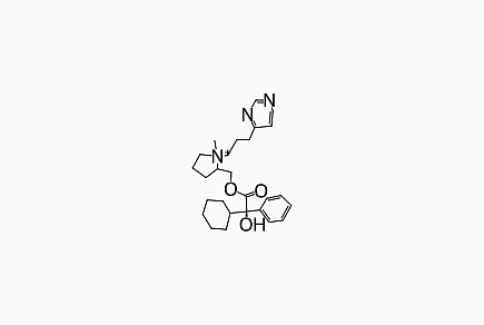 C[N+]1(CCCc2ccncn2)CCCC1COC(=O)[C@](O)(c1ccccc1)C1CCCCC1